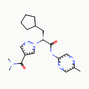 Cc1cnc(NC(=O)[C@H](CC2CCCC2)n2cc(C(=O)N(C)C)cn2)cn1